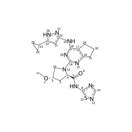 CO[C@H]1C[C@H](C(=O)Nc2ncns2)N(c2nc3c(c(Nc4cc(C5CC5)[nH]n4)n2)CCC3)C1